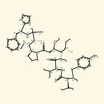 CC[C@H](C)[C@@H]([C@@H](CC(=O)N1CCC[C@H]1[C@H](OC)[C@@H](C)C(C)(O)N[C@@H](Cc1ccccc1)c1nccs1)OC)N(C)C(=O)[C@@H](NC(=O)[C@H](C(C)C)N(C)Cc1ccc(N)cc1)C(C)C